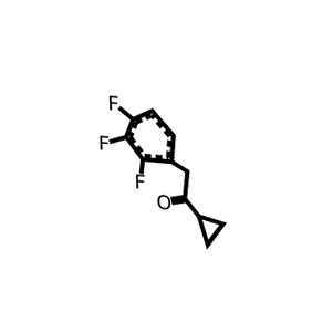 O=C(Cc1ccc(F)c(F)c1F)C1CC1